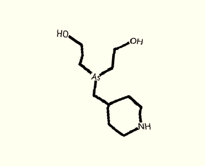 OCC[As](CCO)CC1CCNCC1